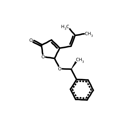 CC(C)=CC1=CC(=O)OC1O[C@@H](C)c1ccccc1